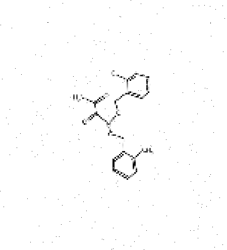 Cc1ccccc1CON(OCc1ccccc1C)C(=O)C(N)=O